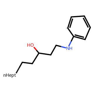 CCCCCCCCCC(O)CCNc1[c]cccc1